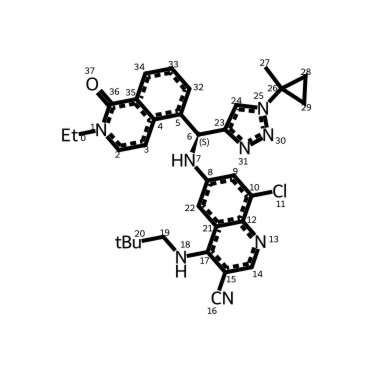 CCn1ccc2c([C@H](Nc3cc(Cl)c4ncc(C#N)c(NCC(C)(C)C)c4c3)c3cn(C4(C)CC4)nn3)cccc2c1=O